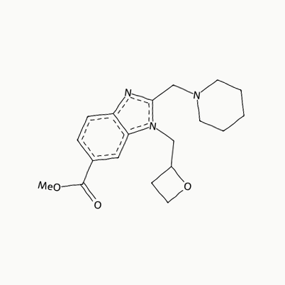 COC(=O)c1ccc2nc(CN3CCCCC3)n(CC3CCO3)c2c1